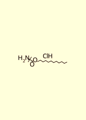 CCCCCCCCCCCCOC(=O)C(C)(C)N.Cl